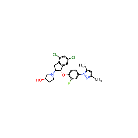 Cc1cc(C)n(-c2ccc(O[C@H]3c4cc(Cl)cc(Cl)c4C[C@@H]3N3CCC(O)C3)c(F)c2)n1